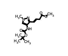 COC(=O)C/C=C/c1nn(C)cc1NC(=O)OC(C)(C)C